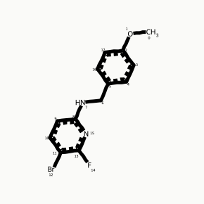 COc1ccc(CNc2ccc(Br)c(F)n2)cc1